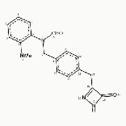 CNc1ccccc1N(C=O)Cc1ccc(CC2=NNC2=O)cc1